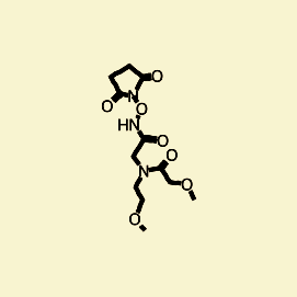 COCCN(CC(=O)NON1C(=O)CCC1=O)C(=O)COC